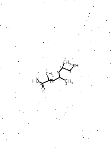 C/C(=C\C(C)CC(C)CS)C(=O)O